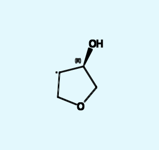 O[C@@H]1[CH]COC1